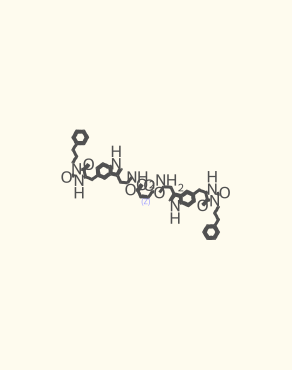 NC(Cc1c[nH]c2ccc(CC3NC(=O)N(CCCc4ccccc4)C3=O)cc12)OC(=O)/C=C\C(=O)OC(N)Cc1c[nH]c2ccc(CC3NC(=O)N(CCCc4ccccc4)C3=O)cc12